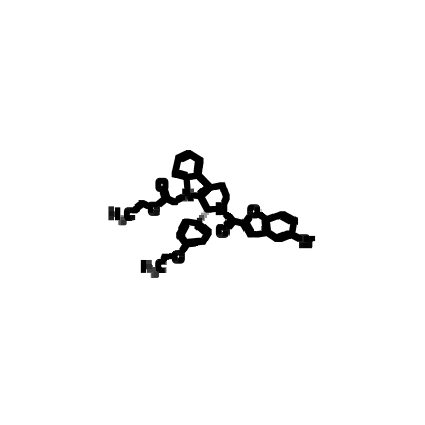 CCOC(=O)Cn1c2c(c3ccccc31)CCN(C(=O)c1cc3cc(Br)ccc3o1)[C@@H]2c1ccc(OCC)cc1